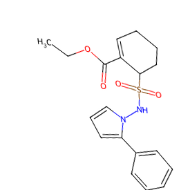 CCOC(=O)C1=CCCCC1S(=O)(=O)Nn1cccc1-c1ccccc1